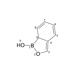 OB1OC=C2C=CC=CC12